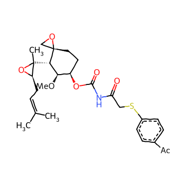 CO[C@H]1[C@H](C2(C)O[C@@H]2CC=C(C)C)[C@]2(CC[C@H]1OC(=O)NC(=O)CSc1ccc(C(C)=O)cc1)CO2